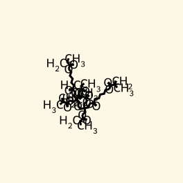 C=C(C)C(=O)OCCCCCC(=O)OCC(COCC(COC(=O)CCCCCOC(=O)C(=C)C)(COC(=O)C(=C)C)COC(=O)C(=C)C)(COC(=O)C(=C)C)COC(=O)C(=C)C